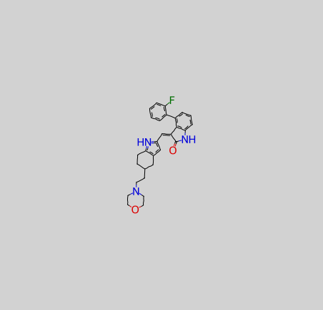 O=C1Nc2cccc(-c3ccccc3F)c2/C1=C/c1cc2c([nH]1)CCC(CCN1CCOCC1)C2